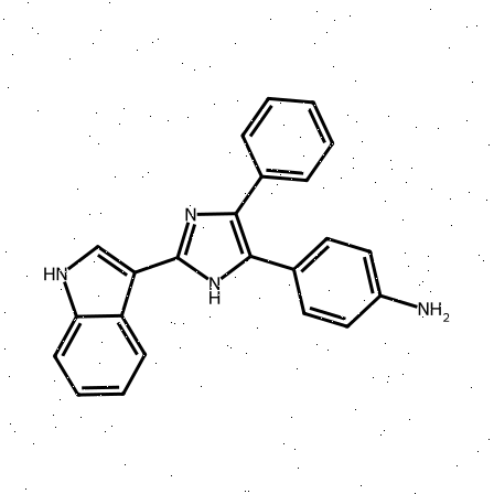 Nc1ccc(-c2[nH]c(-c3c[nH]c4ccccc34)nc2-c2ccccc2)cc1